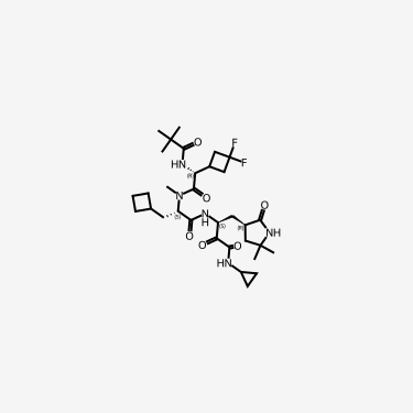 CN(C(=O)[C@H](NC(=O)C(C)(C)C)C1CC(F)(F)C1)[C@@H](CC1CCC1)C(=O)N[C@@H](C[C@@H]1CC(C)(C)NC1=O)C(=O)C(=O)NC1CC1